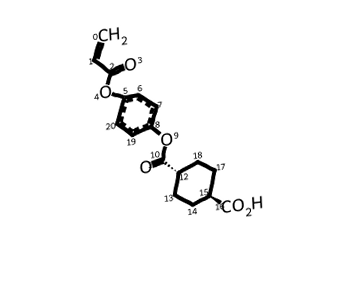 C=CC(=O)Oc1ccc(OC(=O)[C@H]2CC[C@H](C(=O)O)CC2)cc1